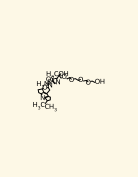 CC(C)C1CCc2c1nc1c(c2CC(=O)N=S(N)(=O)c2cnc(C(C)(O)COCCOCCOCCOCCO)s2)CCC1